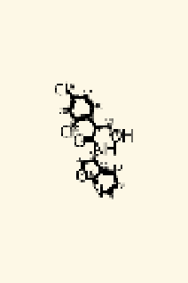 O=C(N[C@H]1COc2ncccc21)C(CO)c1ccc(Cl)cc1Cl